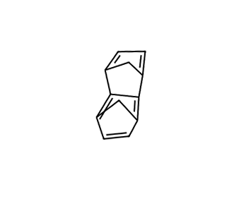 C1=CC2=C3C4=CC=C(C4)C3=C1C2